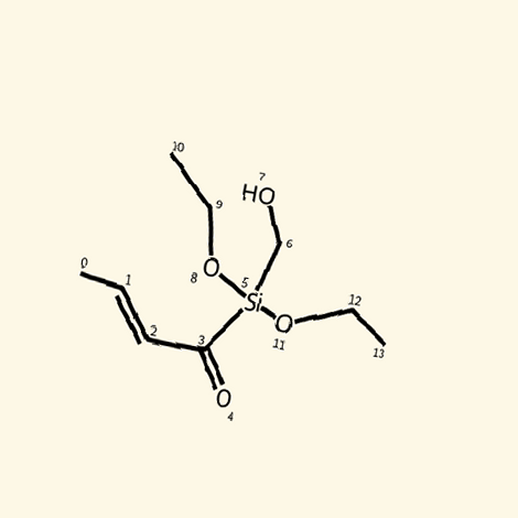 CC=CC(=O)[Si](CO)(OCC)OCC